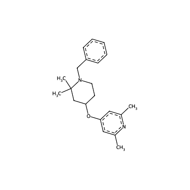 Cc1cc(OC2CCN(Cc3ccccc3)C(C)(C)C2)cc(C)n1